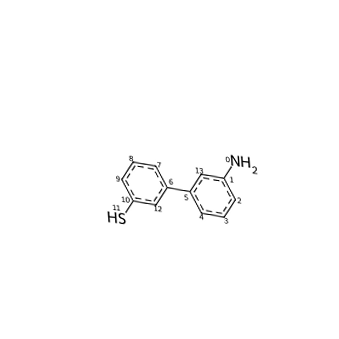 Nc1cccc(-c2cccc(S)c2)c1